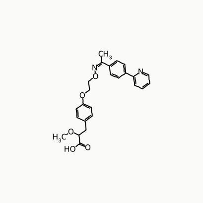 COC(Cc1ccc(OCCON=C(C)c2ccc(-c3ccccn3)cc2)cc1)C(=O)O